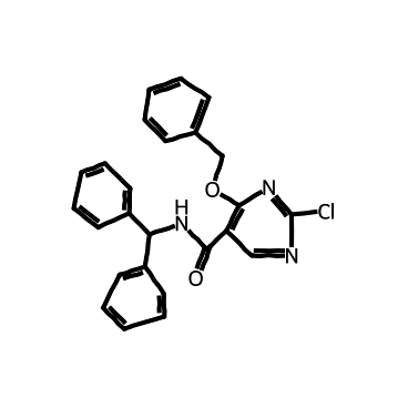 O=C(NC(c1ccccc1)c1ccccc1)c1cnc(Cl)nc1OCc1ccccc1